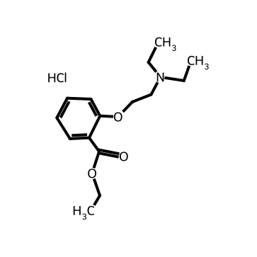 CCOC(=O)c1ccccc1OCCN(CC)CC.Cl